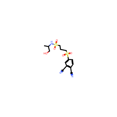 CC(CO)NS(=O)(=O)CCCS(=O)(=O)c1ccc(C#N)c(C#N)c1